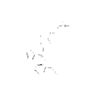 CC(=O)Cc1ccccc1O[C@H](CCN(C)C(=O)OCC[Si](C)(C)C)c1cccs1